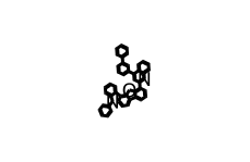 c1ccc(-c2cccc(-c3cc(-c4cccc5c4oc4c5ccc5c4c4ccccc4n5-c4ccccc4)nc4ccccc34)c2)cc1